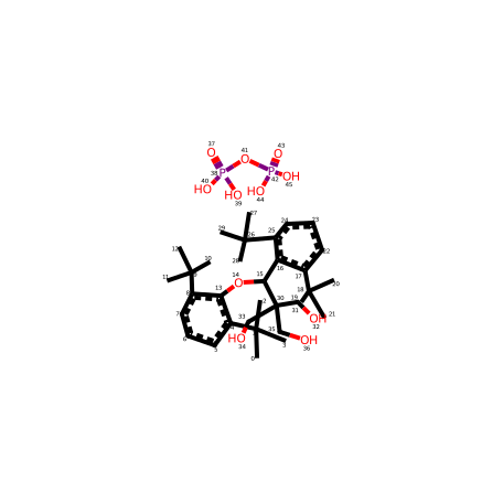 CC(C)(C)c1cccc(C(C)(C)C)c1OC(c1c(C(C)(C)C)cccc1C(C)(C)C)C(CO)(CO)CO.O=P(O)(O)OP(=O)(O)O